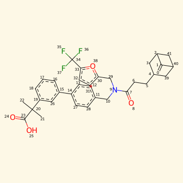 C=C1C2CC(CCC(=O)N(Cc3ccc(-c4cccc(C(C)(C)C(=O)O)c4)cc3)Cc3ccc(C(F)(F)F)o3)CC1C2